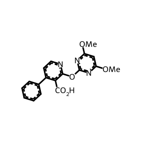 COc1cc(OC)nc(Oc2nccc(-c3ccccc3)c2C(=O)O)n1